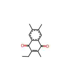 CCC1=C(C)C(=O)c2cc(C)c(C)cc2C1=O